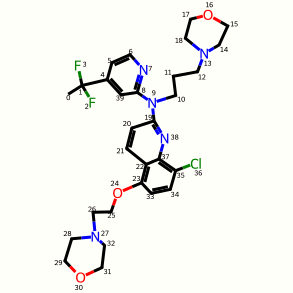 CC(F)(F)c1ccnc(N(CCCN2CCOCC2)c2ccc3c(OCCN4CCOCC4)ccc(Cl)c3n2)c1